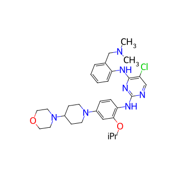 CC(C)Oc1cc(N2CCC(N3CCOCC3)CC2)ccc1Nc1ncc(Cl)c(Nc2ccccc2CN(C)C)n1